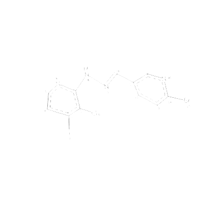 Clc1c(I)ccnc1NN=Cc1ccc(Br)nc1